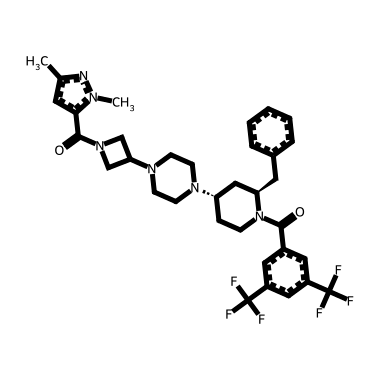 Cc1cc(C(=O)N2CC(N3CCN([C@H]4CCN(C(=O)c5cc(C(F)(F)F)cc(C(F)(F)F)c5)[C@H](Cc5ccccc5)C4)CC3)C2)n(C)n1